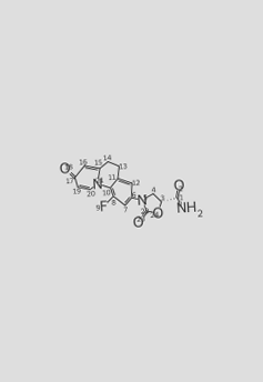 NC(=O)[C@H]1CN(c2cc(F)c3c(c2)CCc2cc(=O)ccn2-3)C(=O)O1